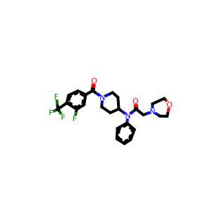 O=C(c1ccc(C(F)(F)F)c(F)c1)N1CCC(N(C(=O)CN2CCOCC2)c2ccccc2)CC1